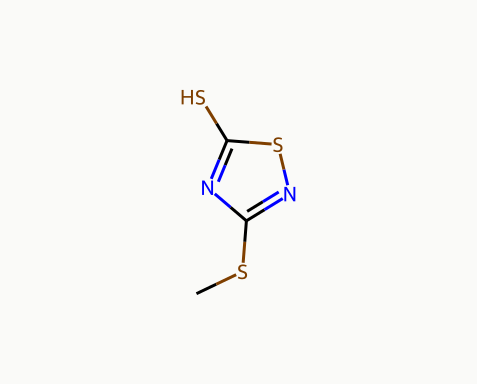 CSc1nsc(S)n1